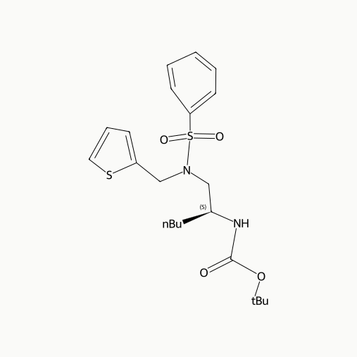 [CH2]CCC[C@@H](CN(Cc1cccs1)S(=O)(=O)c1ccccc1)NC(=O)OC(C)(C)C